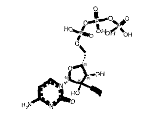 C#C[C@@]1(O)[C@H](O)[C@@H](COP(=O)(O)OP(=O)(O)OP(=O)(O)O)O[C@H]1n1ccc(N)nc1=O